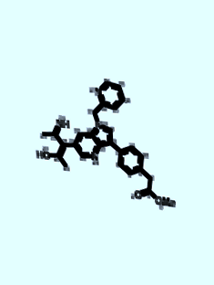 COC(=O)Cc1ccc(-c2cn(Cc3ccccn3)c3cc(/C(C(C)=N)=C(\C)O)cnc23)cc1